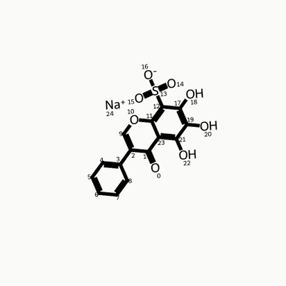 O=c1c(-c2ccccc2)coc2c(S(=O)(=O)[O-])c(O)c(O)c(O)c12.[Na+]